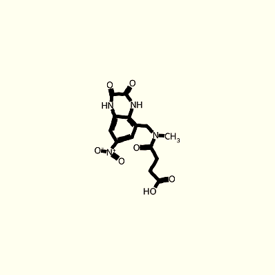 CN(Cc1cc([N+](=O)[O-])cc2[nH]c(=O)c(=O)[nH]c12)C(=O)CCC(=O)O